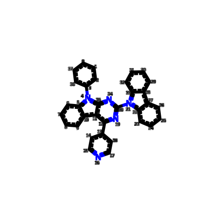 c1ccc(-n2c3ccccc3c3c(-c4ccncc4)nc(-n4c5ccccc5c5ccccc54)nc32)cc1